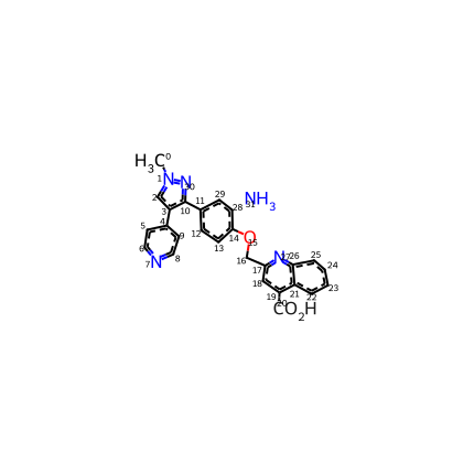 Cn1cc(-c2ccncc2)c(-c2ccc(OCc3cc(C(=O)O)c4ccccc4n3)cc2)n1.N